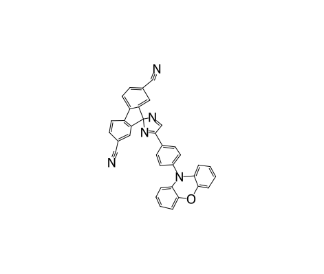 N#Cc1ccc2c(c1)C1(N=CC(c3ccc(N4c5ccccc5Oc5ccccc54)cc3)=N1)c1cc(C#N)ccc1-2